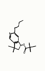 CCCCc1cc2c(cn1)C(C)(C)CN2OC(=O)C(C)(C)C